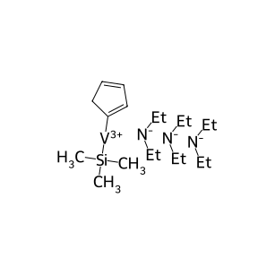 CC[N-]CC.CC[N-]CC.CC[N-]CC.C[Si](C)(C)[V+3][C]1=CC=CC1